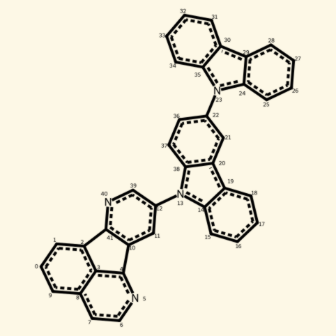 c1cc2c3c(nccc3c1)-c1cc(-n3c4ccccc4c4cc(-n5c6ccccc6c6ccccc65)ccc43)cnc1-2